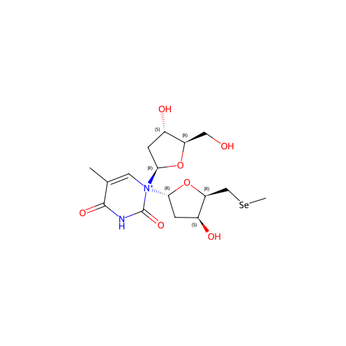 C[Se]C[C@@H]1O[C@@H]([N+]2([C@H]3C[C@H](O)[C@@H](CO)O3)C=C(C)C(=O)NC2=O)C[C@@H]1O